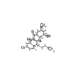 CCCSc1ccc(Cl)cc1Nn1cnc2c(Br)cc(C)cc2c1=O